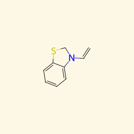 C=CN1CSc2ccccc21